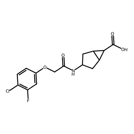 O=C(COc1ccc(Cl)c(F)c1)NC1CC2C(C1)C2C(=O)O